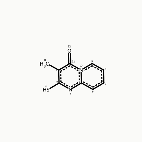 Cc1c(S)nc2ccccn2c1=O